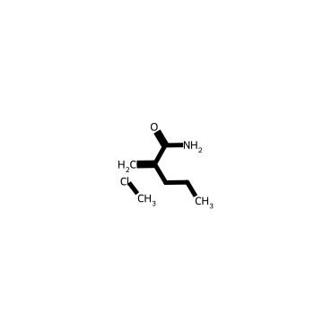 C=C(CCC)C(N)=O.CCl